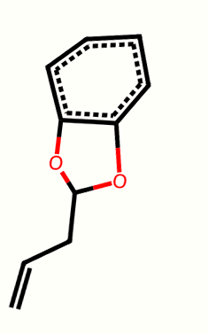 C=CCC1Oc2ccccc2O1